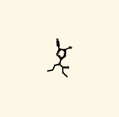 CCCN(C(=S)CC)c1cc(Br)c(C#N)s1